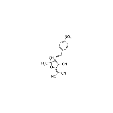 CC1(C)OC(=C(C#N)C#N)C(C#N)=C1C=Cc1ccc([N+](=O)[O-])cc1